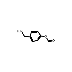 NCc1ccc(OC=O)cc1